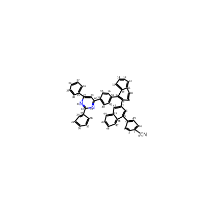 N#Cc1ccc(-c2cc(-c3ccc4ccccc4c3-c3ccc(-c4cc(-c5ccccc5)nc(-c5ccccc5)n4)cc3)cc3ccccc23)cc1